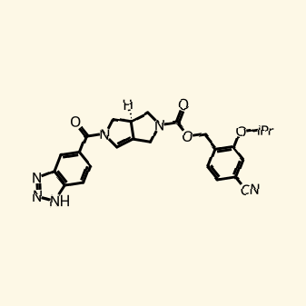 CC(C)Oc1cc(C#N)ccc1COC(=O)N1CC2=CN(C(=O)c3ccc4[nH]nnc4c3)C[C@H]2C1